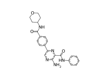 Nc1ncc(-c2ccc(C(=O)NC3CCOCC3)cc2)nc1C(=O)Nc1ccccc1